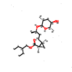 CCC(CC)COC(=O)[C@]1(C)C[C@]1(C)CC[C@@H](C)O[C@@H]1O[C@@H](C)[C@H](O)C[C@H]1C